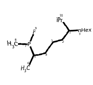 CCCCCCC(CCCC(C)P(C)F)C(C)C